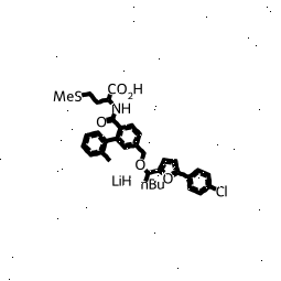 CCCCC(OCc1ccc(C(=O)NC(CCSC)C(=O)O)c(-c2ccccc2C)c1)c1ccc(-c2ccc(Cl)cc2)o1.[LiH]